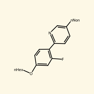 CCCCCCCCCc1ccc(-c2ccc(OCCCCCC)cc2F)nc1